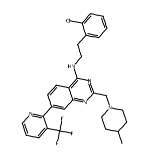 CC1CCN(Cc2nc(NCCc3ccccc3Cl)c3ccc(-c4ncccc4C(F)(F)F)cc3n2)CC1